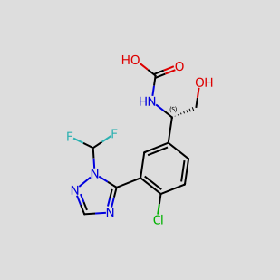 O=C(O)N[C@H](CO)c1ccc(Cl)c(-c2ncnn2C(F)F)c1